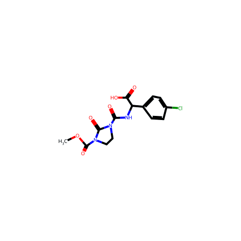 COC(=O)N1CCN(C(=O)NC(C(=O)O)c2ccc(Cl)cc2)C1=O